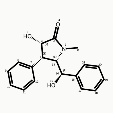 CN1C(=O)[C@@H](O)[C@@H](c2ccccc2)[C@H]1[C@H](O)c1ccccc1